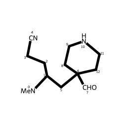 CNC(CCC#N)CC1(C=O)CCNCC1